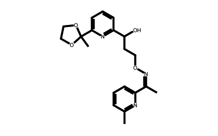 CC(=NOCCC(O)c1cccc(C2(C)OCCO2)n1)c1cccc(C)n1